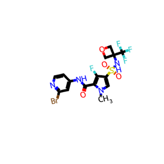 Cn1cc(S(=O)(=O)NC2(C(F)(F)F)COC2)c(F)c1C(=O)Nc1ccnc(Br)c1